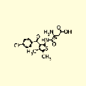 Cc1sc(NC(=O)[C@@H](N)CC(=O)O)c(C(=O)c2ccc(Cl)cc2)c1C